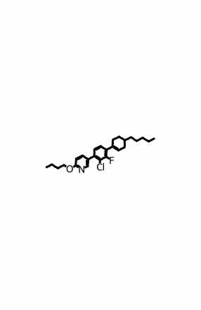 CCCCCC1CC=C(c2ccc(-c3ccc(OCCCC)nc3)c(Cl)c2F)CC1